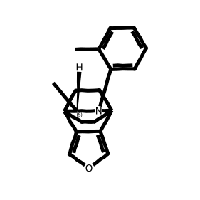 Cc1ccccc1N1[C@@H](C)C23CCC1(CC2)c1cocc13